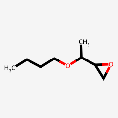 CCCCOC(C)C1CO1